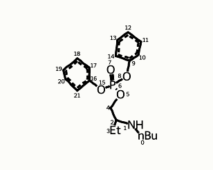 CCCCNC(CC)COP(=O)(Oc1ccccc1)Oc1ccccc1